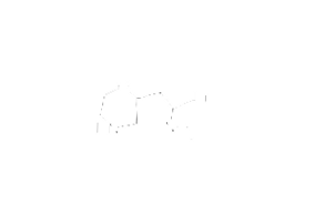 CCC(CC1CNCCO1)[N+](=O)[O-]